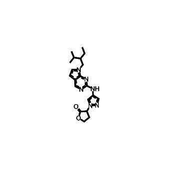 CCC(Cn1ccc2cnc(Nc3cnn(C4CCOC4=O)c3)nc21)C(C)C